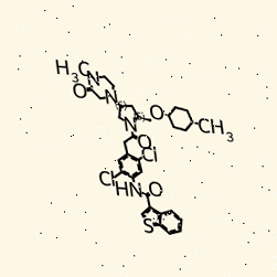 CN1CCN([C@H]2C[C@@H](CO[C@H]3CC[C@H](C)CC3)N(C(=O)Cc3cc(Cl)c(NC(=O)c4csc5ccccc45)cc3Cl)C2)CC1=O